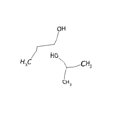 CC(C)O.CCCO